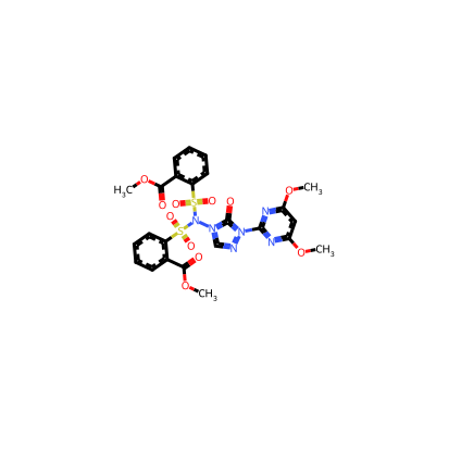 COC(=O)c1ccccc1S(=O)(=O)N(n1cnn(-c2nc(OC)cc(OC)n2)c1=O)S(=O)(=O)c1ccccc1C(=O)OC